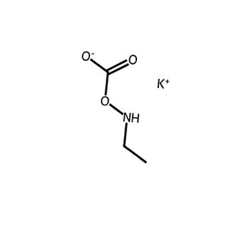 CCNOC(=O)[O-].[K+]